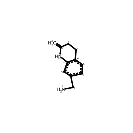 C=C1CCc2ccc(CN)cc2N1